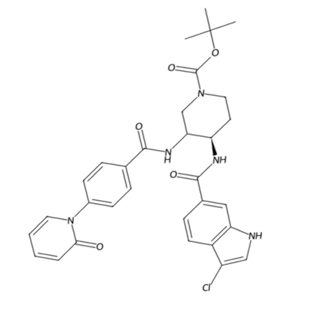 CC(C)(C)OC(=O)N1CC[C@@H](NC(=O)c2ccc3c(Cl)c[nH]c3c2)C(NC(=O)c2ccc(-n3ccccc3=O)cc2)C1